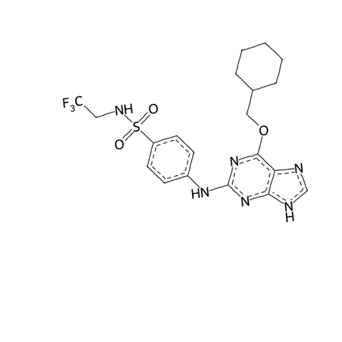 O=S(=O)(NCC(F)(F)F)c1ccc(Nc2nc(OCC3CCCCC3)c3nc[nH]c3n2)cc1